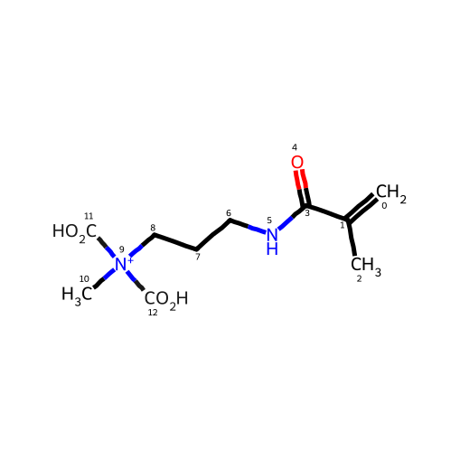 C=C(C)C(=O)NCCC[N+](C)(C(=O)O)C(=O)O